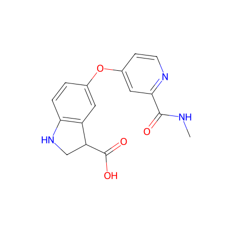 CNC(=O)c1cc(Oc2ccc3c(c2)C(C(=O)O)CN3)ccn1